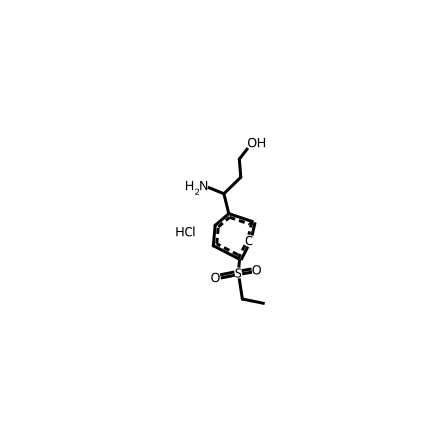 CCS(=O)(=O)c1ccc(C(N)CCO)cc1.Cl